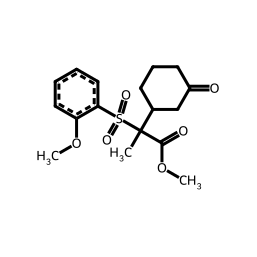 COC(=O)C(C)(C1CCCC(=O)C1)S(=O)(=O)c1ccccc1OC